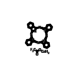 O=C([O][GaH2])C(F)(F)F.c1ccc2c(c1)-c1nc-2nc2[nH]c(nc3nc(nc4[nH]c(n1)c1ccccc41)-c1ccccc1-3)c1ccccc21